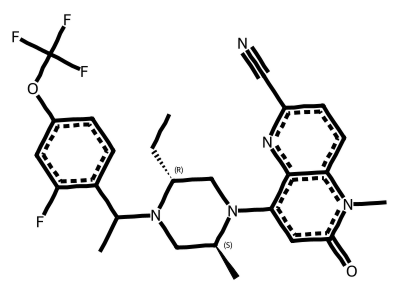 CC[C@@H]1CN(c2cc(=O)n(C)c3ccc(C#N)nc23)[C@@H](C)CN1C(C)c1ccc(OC(F)(F)F)cc1F